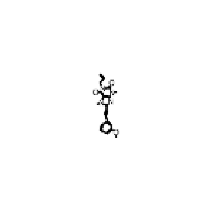 C=CCn1c(=O)c2c(nc(C#Cc3cccc(OC)c3)n2C)n(C)c1=O